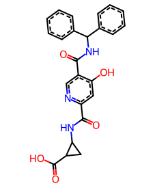 O=C(NC1CC1C(=O)O)c1cc(O)c(C(=O)NC(c2ccccc2)c2ccccc2)cn1